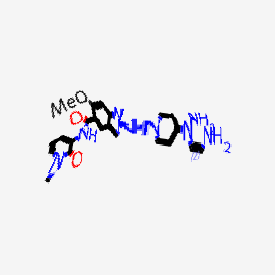 COc1cc2nn(N3CCC(N(N)/C=C\N)CC3)cc2cc1C(=O)Nc1cccn(C)c1=O